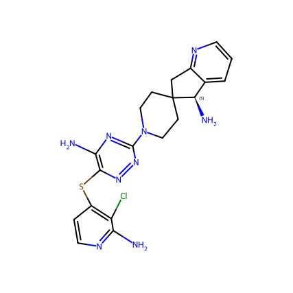 Nc1nc(N2CCC3(CC2)Cc2ncccc2[C@H]3N)nnc1Sc1ccnc(N)c1Cl